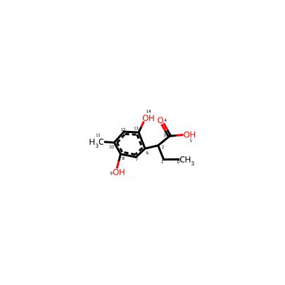 CCC(C(=O)O)c1cc(O)c(C)cc1O